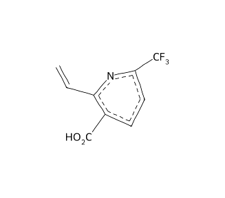 C=Cc1nc(C(F)(F)F)ccc1C(=O)O